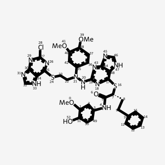 COc1cc(NC(=O)[C@@H](CCc2ccccc2)Sc2nc(NN(CCSc3nc(Cl)nc4nc[nH]c34)c3ccc(OC)c(OC)c3)nc3nc[nH]c23)ccc1O